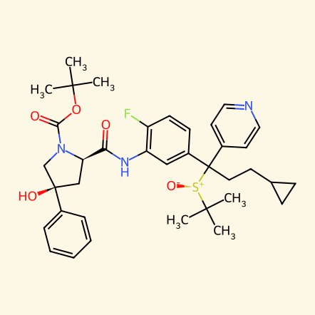 CC(C)(C)OC(=O)N1C[C@@](O)(c2ccccc2)C[C@@H]1C(=O)Nc1cc(C(CCC2CC2)(c2ccncc2)[S@+]([O-])C(C)(C)C)ccc1F